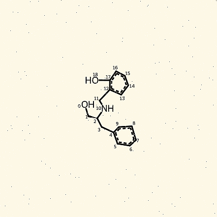 OC[C@H](Cc1ccccc1)NCc1ccccc1O